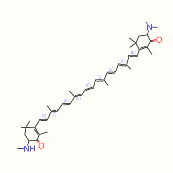 CNC1CC(C)(C)C(/C=C/C(C)=C/C=C/C(C)=C/C=C/C=C(C)/C=C/C=C(C)/C=C/C2=C(C)C(=O)C(N(C)C)CC2(C)C)=C(C)C1=O